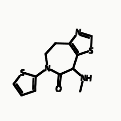 CNC1C(=O)N(c2cccs2)CCc2ncsc21